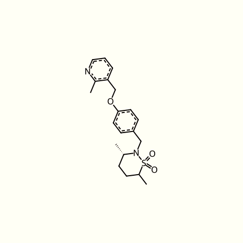 Cc1ncccc1COc1ccc(CN2[C@@H](C)CCC(C)S2(=O)=O)cc1